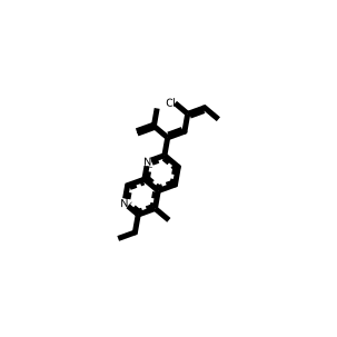 C=C(C)/C(=C\C(Cl)=C/C)c1ccc2c(C)c(CC)ncc2n1